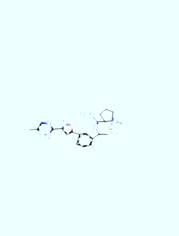 CN=[S@]1(=O)C[C@@](C)(c2cc(-c3cc(-c4ncc(Cl)cn4)no3)ccc2F)N=C(N)C12CCCC2